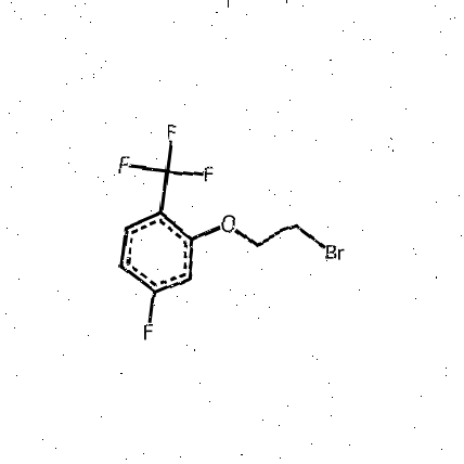 Fc1ccc(C(F)(F)F)c(OCCBr)c1